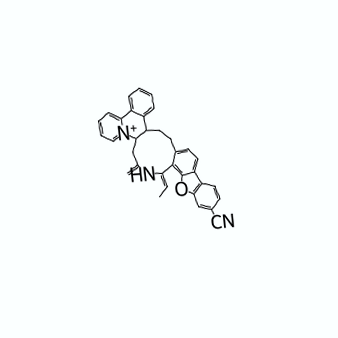 C=C1CC2C(CCc3ccc4c(oc5cc(C#N)ccc54)c3/C(=C/C)N1)c1ccccc1-c1cccc[n+]12